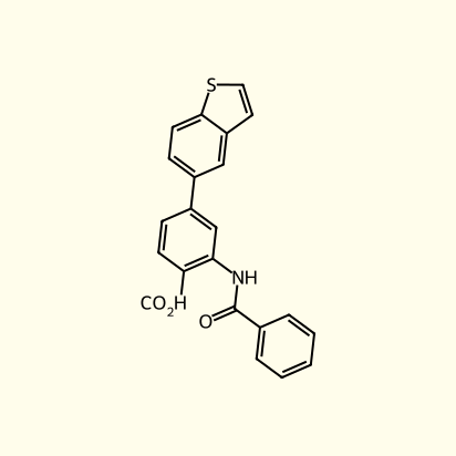 O=C(Nc1cc(-c2ccc3sccc3c2)ccc1C(=O)O)c1ccccc1